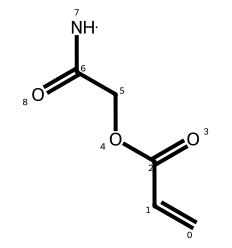 C=CC(=O)OCC([NH])=O